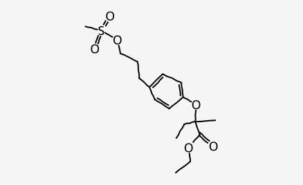 CCOC(=O)C(C)(CC)Oc1ccc(CCCOS(C)(=O)=O)cc1